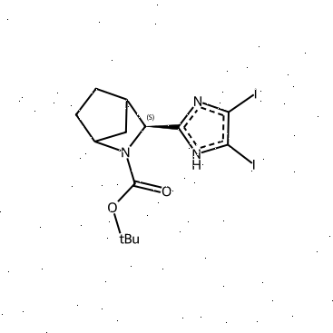 CC(C)(C)OC(=O)N1C2CCC(C2)[C@H]1c1nc(I)c(I)[nH]1